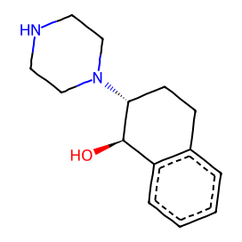 O[C@@H]1c2ccccc2CC[C@H]1N1CCNCC1